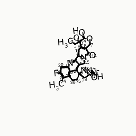 CC[C@@]1(O)C(=O)OCc2c1cc1n(c2=O)Cc2c-1nc1cc(F)c(C)c3c1c2C(CCO)(N=[N+]=[N-])CC3